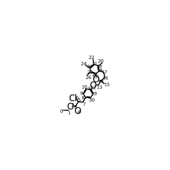 CCOC(=O)C(Cl)Cc1ccc(OCC2(C)CCc3c(C)c(C)c(C)c(C)c3O2)cc1